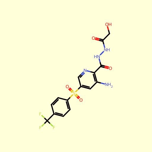 Nc1cc(S(=O)(=O)c2ccc(C(F)(F)F)cc2)cnc1C(=O)NNC(=O)CO